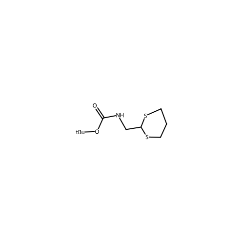 CC(C)(C)OC(=O)NCC1SCCCS1